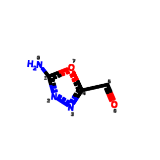 Nc1nnc(C=O)o1